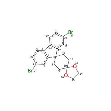 Brc1ccc2c(c1)C1(CCC3(CC1)OCCO3)c1cc(Br)ccc1-2